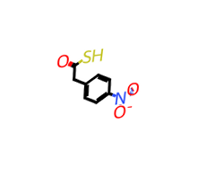 O=C(S)Cc1ccc([N+](=O)[O-])cc1